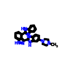 CN1CCN(c2ccc3nc(-c4n[nH]c5cccc(-c6nc7ccccc7[nH]6)c45)[nH]c3c2)CC1